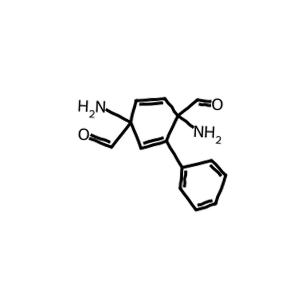 NC1(C=O)C=CC(N)(C=O)C(c2ccccc2)=C1